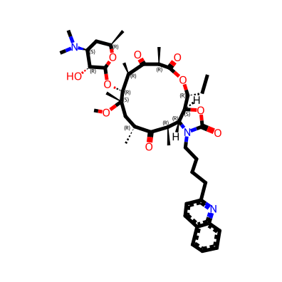 CC[C@H]1OC(=O)[C@H](C)C(=O)[C@H](C)[C@@H](OC2O[C@H](C)C[C@H](N(C)C)[C@H]2O)[C@@](C)(OC)C[C@@H](C)C(=O)[C@H](C)[C@@H]2[C@@H]1OC(=O)N2CCCCc1ccc2ccccc2n1